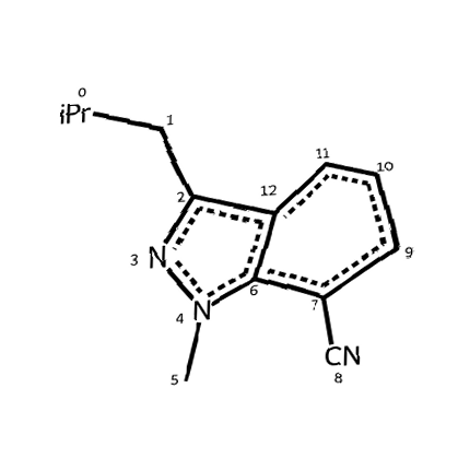 CC(C)Cc1nn(C)c2c(C#N)cccc12